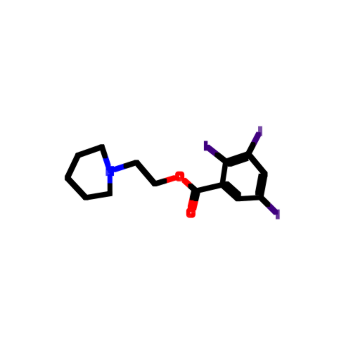 O=C(OCCN1CCCCC1)c1cc(I)cc(I)c1I